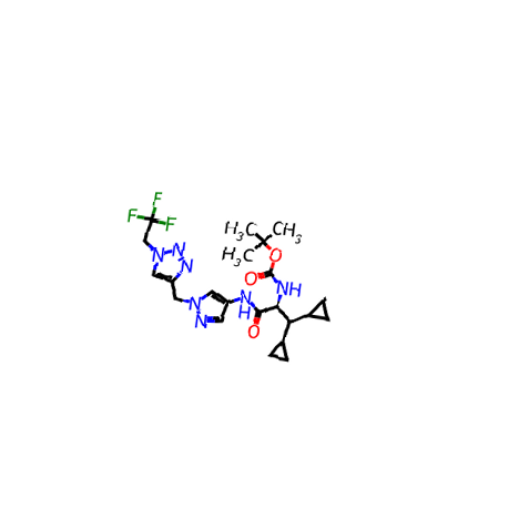 CC(C)(C)OC(=O)N[C@H](C(=O)Nc1cnn(Cc2cn(CC(F)(F)F)nn2)c1)C(C1CC1)C1CC1